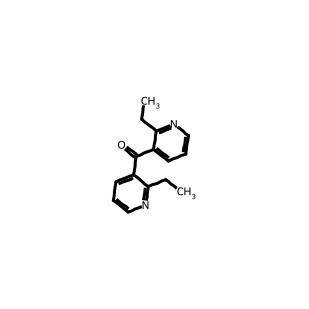 CCc1ncccc1C(=O)c1cccnc1CC